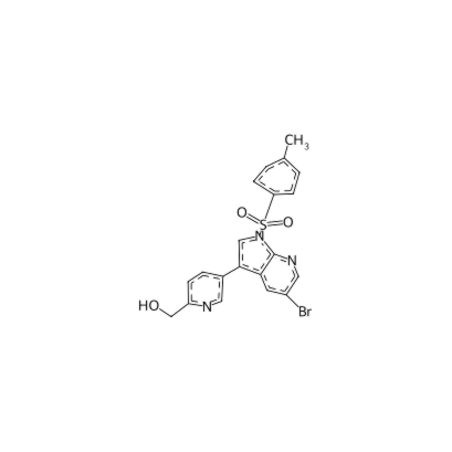 Cc1ccc(S(=O)(=O)n2cc(-c3ccc(CO)nc3)c3cc(Br)cnc32)cc1